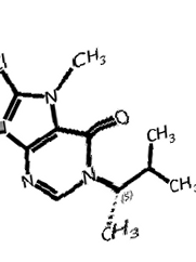 CC(C)[C@H](C)n1cnc2nc(Cl)n(C)c2c1=O